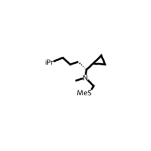 CSCN(C)[C@H](CCCC(C)C)C1CC1